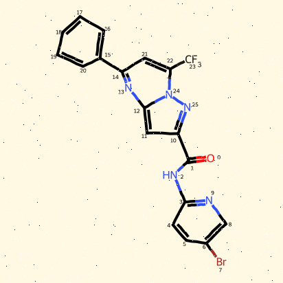 O=C(Nc1ccc(Br)cn1)c1cc2nc(-c3ccccc3)cc(C(F)(F)F)n2n1